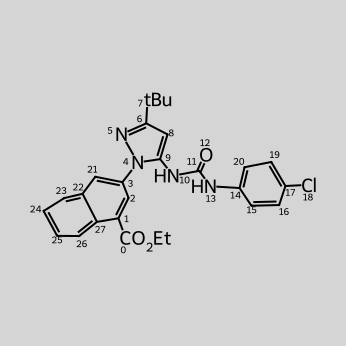 CCOC(=O)c1cc(-n2nc(C(C)(C)C)cc2NC(=O)Nc2ccc(Cl)cc2)cc2ccccc12